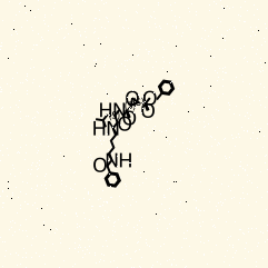 CC(C)C[C@H](NC(=O)[C@H]1O[C@@H]1C(=O)OCc1ccccc1)C(=O)NCCCCNC(=O)c1ccccc1